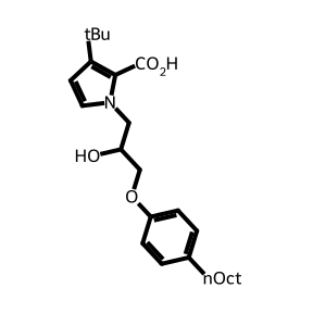 CCCCCCCCc1ccc(OCC(O)Cn2ccc(C(C)(C)C)c2C(=O)O)cc1